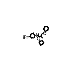 C/C(=C\Oc1ccccc1)C(=Nc1ccc(C(C)C)cc1)Oc1ccccc1